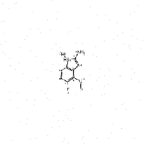 [2H][SH]1C(N)=Nc2c1ccc(F)c2OC